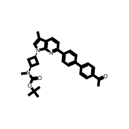 CC(=O)c1ccc(-c2ccc(-c3ccc4c(C)cn([C@H]5C[C@H](N(C)C(=O)OC(C)(C)C)C5)c4n3)cc2)cc1